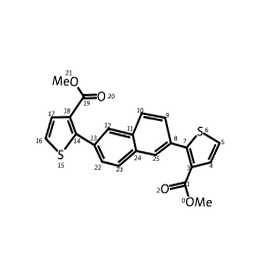 COC(=O)c1ccsc1-c1ccc2cc(-c3sccc3C(=O)OC)ccc2c1